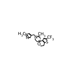 C[C@H]1C[C@@]2(CCN1Cc1cnn(C)c1)OCCc1sc(C(F)(F)F)cc12